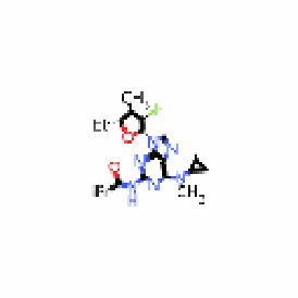 CC[C@H]1O[C@@H](n2cnc3c(N(C)C4CC4)nc(NC(=O)C(C)C)nc32)[C@H](F)[C@@H]1C